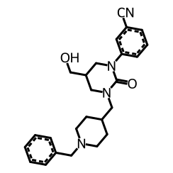 N#Cc1cccc(N2CC(CO)CN(CC3CCN(Cc4ccccc4)CC3)C2=O)c1